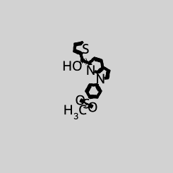 CS(=O)(=O)c1ccc(-n2ccc3ccc([C@@H](O)c4cccs4)nc32)cc1